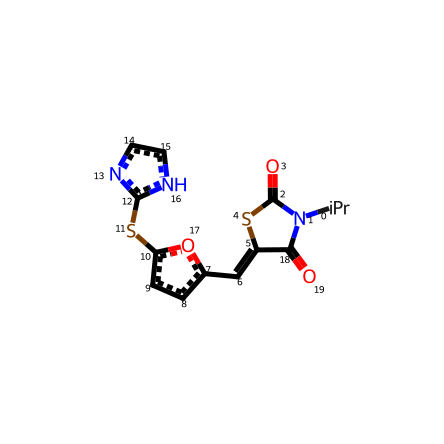 CC(C)N1C(=O)S/C(=C\c2ccc(Sc3ncc[nH]3)o2)C1=O